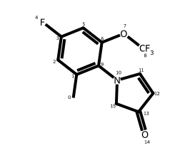 Cc1cc(F)cc(OC(F)(F)F)c1N1C=CC(=O)C1